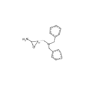 NC1O[C@H]1CN(Cc1ccccc1)Cc1ccccc1